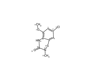 COc1cc(Cl)cc2c1NC(=O)N(C)S2